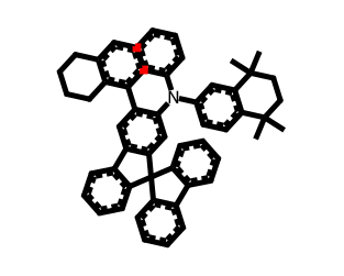 CC1(C)CCC(C)(C)c2cc(N(c3ccccc3)c3cc4c(cc3-c3cccc5c3CCCC5)-c3ccccc3C43c4ccccc4-c4ccccc43)ccc21